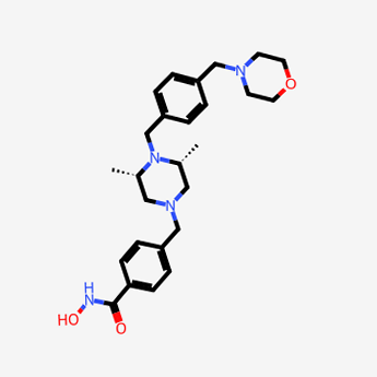 C[C@@H]1CN(Cc2ccc(C(=O)NO)cc2)C[C@H](C)N1Cc1ccc(CN2CCOCC2)cc1